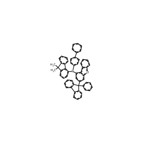 CC1(C)c2ccccc2-c2c(N(c3ccc(-c4ccccc4)cc3)c3cc(C4(c5ccccc5)c5ccccc5-c5ccccc54)cc4oc5ccccc5c34)cccc21